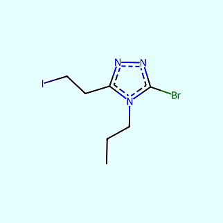 CCCn1c(Br)nnc1CCI